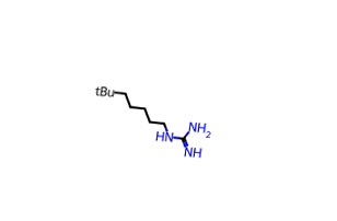 CC(C)(C)CCCCCNC(=N)N